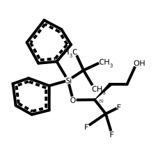 CC(C)(C)[Si](O[C@@H](CCO)C(F)(F)F)(c1ccccc1)c1ccccc1